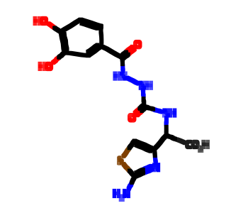 Nc1nc(C(NC(=O)NNC(=O)c2ccc(O)c(O)c2)C(=O)O)cs1